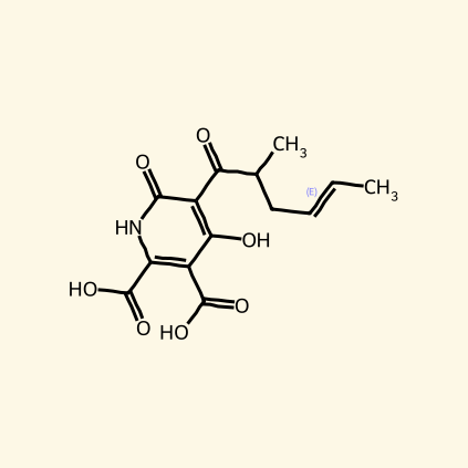 C/C=C/CC(C)C(=O)c1c(O)c(C(=O)O)c(C(=O)O)[nH]c1=O